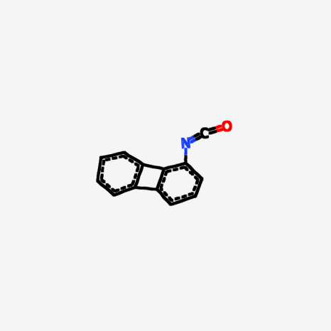 O=C=Nc1cccc2c1-c1ccccc1-2